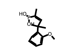 COc1ccccc1C(C)(C)/C=C(/C)P(O)O